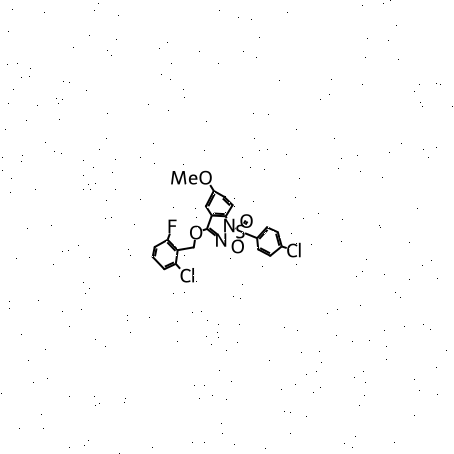 COc1ccc2c(c1)c(OCc1c(F)cccc1Cl)nn2S(=O)(=O)c1ccc(Cl)cc1